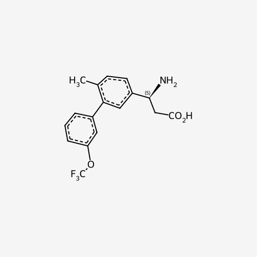 Cc1ccc([C@@H](N)CC(=O)O)cc1-c1cccc(OC(F)(F)F)c1